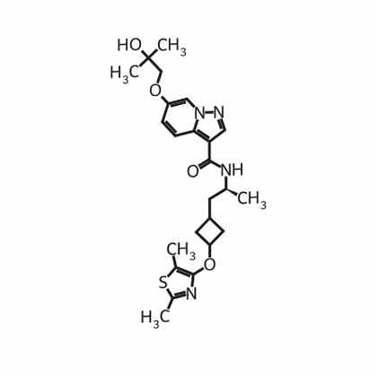 Cc1nc(OC2CC(C[C@H](C)NC(=O)c3cnn4cc(OCC(C)(C)O)ccc34)C2)c(C)s1